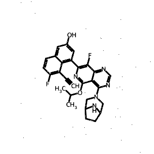 C#Cc1c(F)ccc2cc(O)cc(-c3nc(OC(C)C)c4c(N5CC6CCC(C5)N6)ncnc4c3F)c12